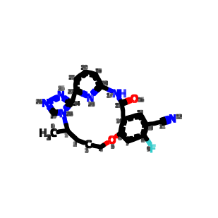 CC1CCCOc2cc(F)c(C#N)cc2C(=O)Nc2cccc(n2)-c2nncn21